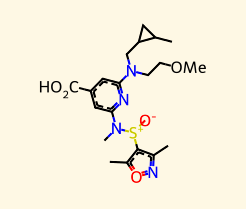 COCCN(CC1CC1C)c1cc(C(=O)O)cc(N(C)[S+]([O-])c2c(C)noc2C)n1